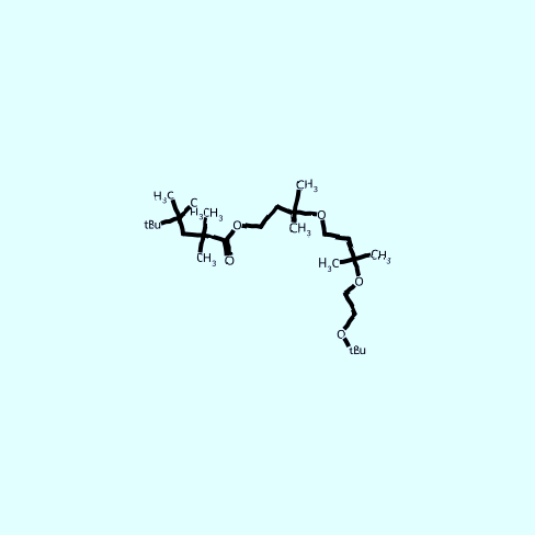 CC(C)(C)OCCOC(C)(C)CCOC(C)(C)CCOC(=O)C(C)(C)CC(C)(C)C(C)(C)C